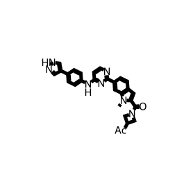 CC(=O)C1CN(C(=O)c2cc3ccc(-c4nccc(Nc5ccc(-c6cn[nH]c6)cc5)n4)cc3n2C)C1